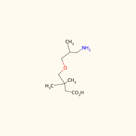 CC(CN)COCC(C)(C)CC(=O)O